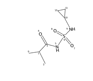 CC(C)C(=O)NS(=O)(=O)NC1CC1